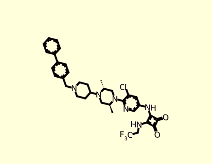 C[C@@H]1CN(c2ncc(Nc3c(NCC(F)(F)F)c(=O)c3=O)cc2Cl)[C@@H](C)CN1C1CCN(Cc2ccc(-c3ccccc3)cc2)CC1